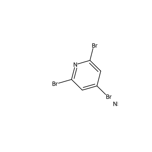 Brc1cc(Br)nc(Br)c1.[N]